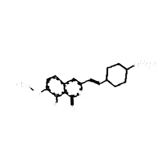 CCCCCCCC1CCC(/C=C/c2cc3ccc(OCCCC)c(F)c3c(=O)o2)CC1